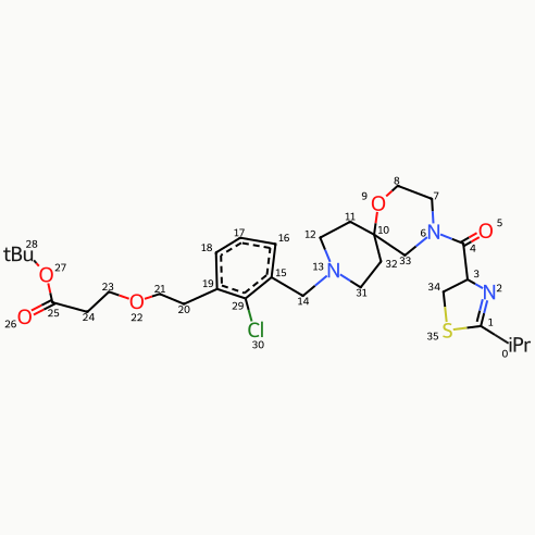 CC(C)C1=NC(C(=O)N2CCOC3(CCN(Cc4cccc(CCOCCC(=O)OC(C)(C)C)c4Cl)CC3)C2)CS1